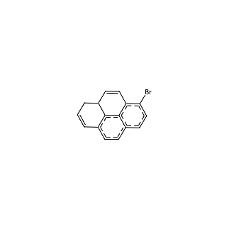 Brc1ccc2ccc3c4c2c1C=CC4CC=C3